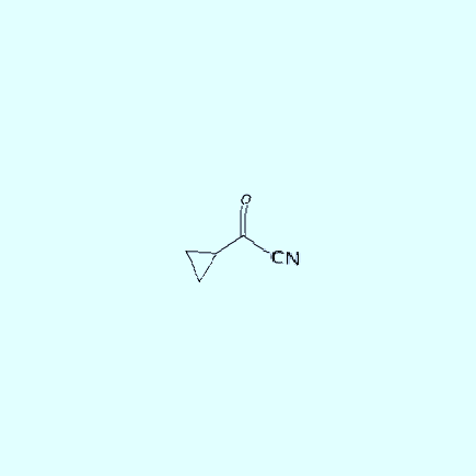 N#CC(=O)C1CC1